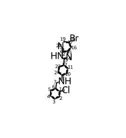 Clc1ccccc1CNc1ccc(-c2nc3cc(Br)cnc3[nH]2)cc1